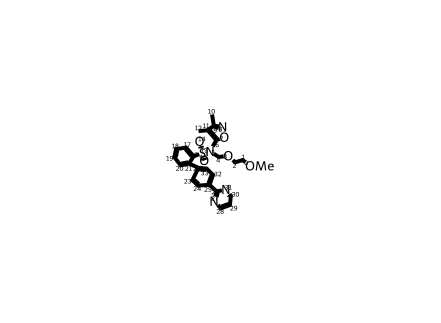 COCCOCN(c1onc(C)c1C)S(=O)(=O)c1ccccc1-c1ccc(-c2ncccn2)cc1